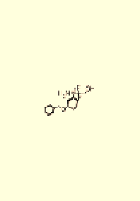 C[C@@](N)(c1cccc(OCc2ccccc2)c1)C(F)(F)CO